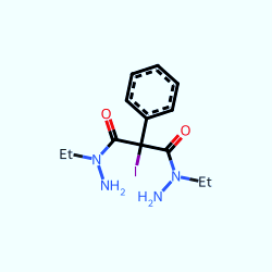 CCN(N)C(=O)C(I)(C(=O)N(N)CC)c1ccccc1